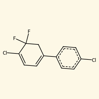 FC1(F)CC(c2ccc(Cl)cc2)=CC=C1Cl